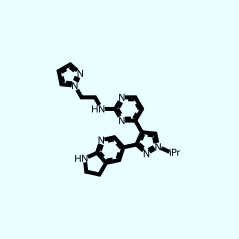 CC(C)n1cc(-c2ccnc(NCCn3cccn3)n2)c(-c2cnc3c(c2)CCN3)n1